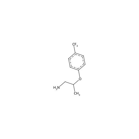 CC(CN)Oc1ccc(C(F)(F)F)cc1